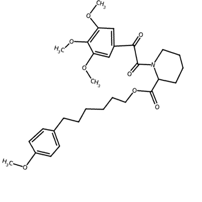 COc1ccc(CCCCCCOC(=O)C2CCCCN2C(=O)C(=O)c2cc(OC)c(OC)c(OC)c2)cc1